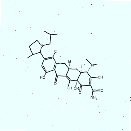 CC(C)CN1CCC(C)C1c1cc(O)c2c(c1Cl)C[C@H]1C[C@H]3[C@H](N(C)C)C(O)=C(C(N)=O)C(=O)[C@@]3(O)C(O)=C1C2=O